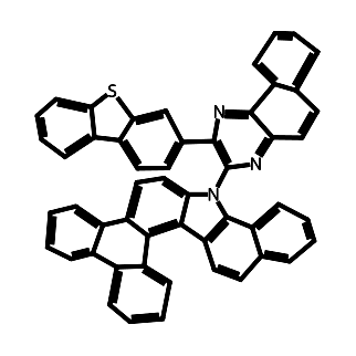 c1ccc2c(c1)ccc1nc(-n3c4ccc5c6ccccc6c6ccccc6c5c4c4ccc5ccccc5c43)c(-c3ccc4c(c3)sc3ccccc34)nc12